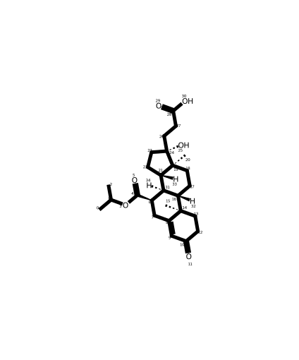 CC(C)OC(=O)[C@@H]1CC2=CC(=O)CC[C@]2(C)[C@H]2CC[C@@]3(C)[C@@H](CC[C@@]3(O)CCC(=O)O)[C@H]12